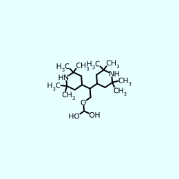 CC1(C)CC(C(COC(O)O)C2CC(C)(C)NC(C)(C)C2)CC(C)(C)N1